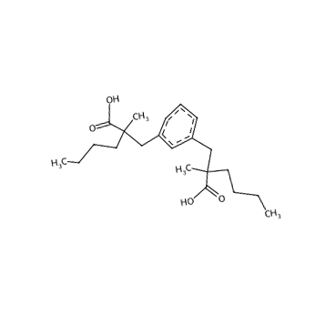 CCCCC(C)(Cc1cccc(CC(C)(CCCC)C(=O)O)c1)C(=O)O